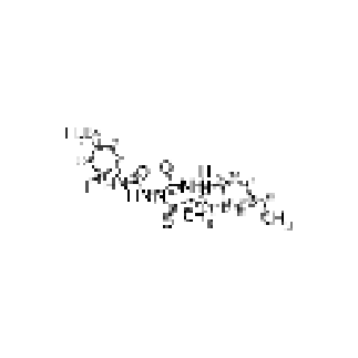 Bc1ccc(NC(=O)NN2C(=O)NC(C)(c3cc4cc(CC)ccc4[nH]3)C2=O)c(F)c1